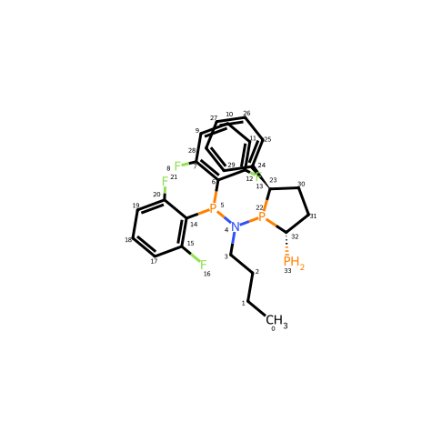 CCCCN(P(c1c(F)cccc1F)c1c(F)cccc1F)P1[C@@H](c2ccccc2)CC[C@@H]1P